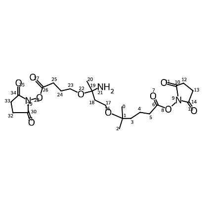 CC(C)(CCCC(=O)ON1C(=O)CCC1=O)OCCC(C)(N)OCCCC(=O)ON1C(=O)CCC1=O